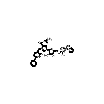 Nc1nc2c(c(=O)[nH]1)[n+](Cc1ccc(-c3ccccc3)[nH]c1=O)cn2C1OC(COP(=O)(O)OP(=O)(O)n2cccc2)[C@H](O)[C@@H]1O